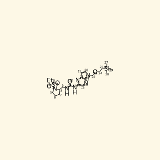 CCS(=O)(=O)N1CCCC1CNC(=O)Nc1cnc2c(ccn2COCC[Si](C)(C)C)n1